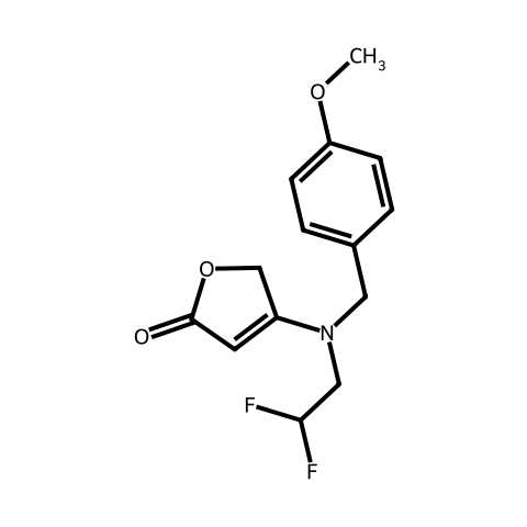 COc1ccc(CN(CC(F)F)C2=CC(=O)OC2)cc1